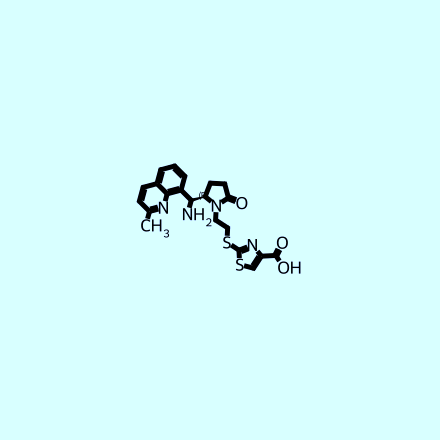 Cc1ccc2cccc(C(N)[C@H]3CCC(=O)N3CCSc3nc(C(=O)O)cs3)c2n1